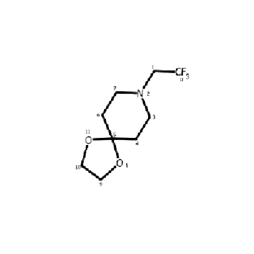 FC(F)(F)CN1CCC2(CC1)OCCO2